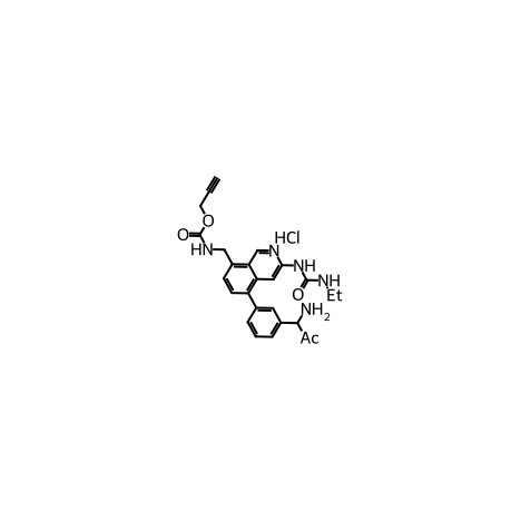 C#CCOC(=O)NCc1ccc(-c2cccc(C(N)C(C)=O)c2)c2cc(NC(=O)NCC)ncc12.Cl